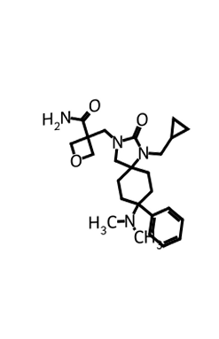 CN(C)C1(c2ccccc2)CCC2(CC1)CN(CC1(C(N)=O)COC1)C(=O)N2CC1CC1